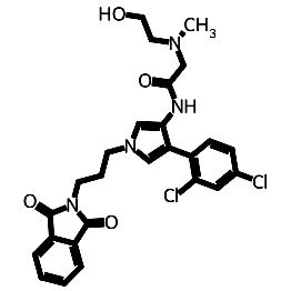 CN(CCO)CC(=O)Nc1cn(CCCN2C(=O)c3ccccc3C2=O)cc1-c1ccc(Cl)cc1Cl